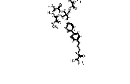 C=C(C)C(=O)OCCCc1ccc(-c2ccc(OCC(COC(=O)C(=C)C)(COC(=O)C(C)=O)COC(=O)C(=O)OC)cc2)cc1